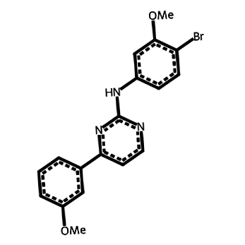 COc1cccc(-c2ccnc(Nc3ccc(Br)c(OC)c3)n2)c1